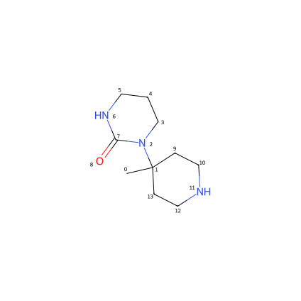 CC1(N2CCCNC2=O)CCNCC1